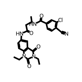 CCn1c(=O)c2cc(NC(=O)CC(C)NC(=O)c3ccc(C#N)c(Cl)c3)ccc2n(CC)c1=O